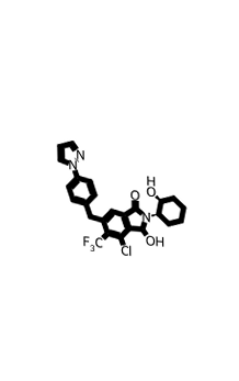 O=C1c2cc(Cc3ccc(-n4cccn4)cc3)c(C(F)(F)F)c(Cl)c2C(O)N1[C@H]1CCCC[C@@H]1O